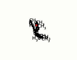 CCCCCCCCCOP(Oc1ccc(C(C)(C)CC(C)(C)C)cc1)Oc1ccc(C(C)(C)CC(C)(C)C)cc1